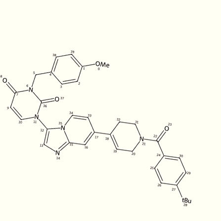 COc1ccc(Cn2c(=O)ccn(-c3cnc4cc(C5=CCN(C(=O)c6ccc(C(C)(C)C)cc6)CC5)ccn34)c2=O)cc1